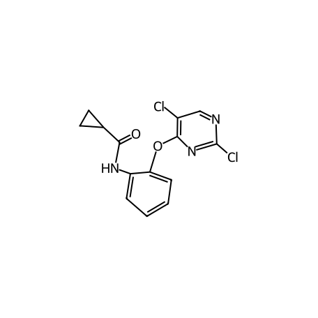 O=C(Nc1ccccc1Oc1nc(Cl)ncc1Cl)C1CC1